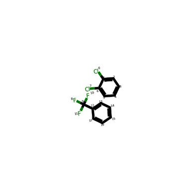 Clc1ccccc1Cl.FC(F)(F)c1ccccc1